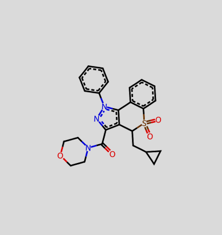 O=C(c1nn(-c2ccccc2)c2c1C(CC1CC1)S(=O)(=O)c1ccccc1-2)N1CCOCC1